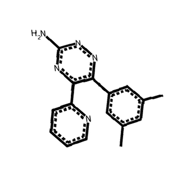 Cc1cc(C)cc(-c2nnc(N)nc2-c2ccccn2)c1